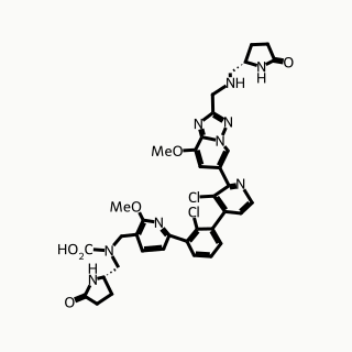 COc1nc(-c2cccc(-c3ccnc(-c4cc(OC)c5nc(CNC[C@@H]6CCC(=O)N6)nn5c4)c3Cl)c2Cl)ccc1CN(C[C@@H]1CCC(=O)N1)C(=O)O